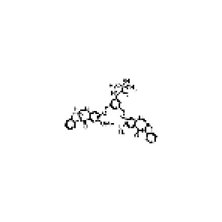 COc1cc2c(cc1OCc1cc(COc3cc4c(cc3C)C(=O)N3c5ccccc5C[C@H]3C=N4)cc(NC(=O)C(C)(C)S)c1)N=C[C@@H]1Cc3ccccc3N1C2=O